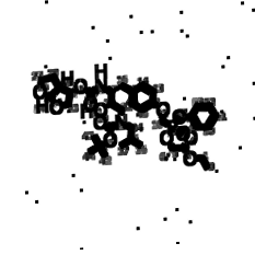 CCOC(=O)[C@H](C)OP(=O)(COc1ccc(C[C@H](NC(=O)O[C@H]2CO[C@H]3OCC[C@H]32)[C@H](O)CN(CC(C)C)C(=O)OC(C)(C)C)cc1)Oc1ccccc1